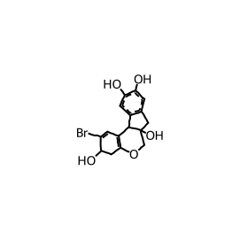 Oc1cc2c(cc1O)C1C3=C(CC(O)C(Br)=C3)OCC1(O)C2